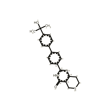 CC(C)(O)c1ccc(-c2ccc(-c3nc4c(c(=O)[nH]3)CSCC4)cc2)cc1